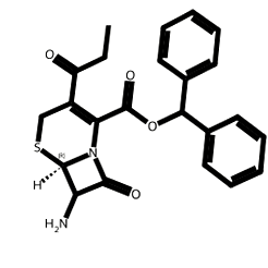 CCC(=O)C1=C(C(=O)OC(c2ccccc2)c2ccccc2)N2C(=O)C(N)[C@H]2SC1